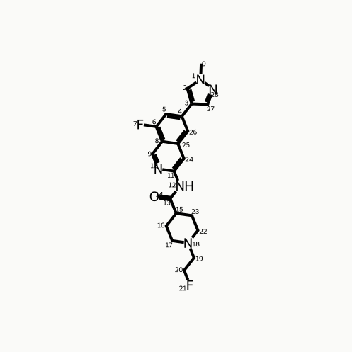 Cn1cc(-c2cc(F)c3cnc(NC(=O)C4CCN(CCF)CC4)cc3c2)cn1